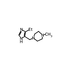 CCc1nc[nH]c1CN1CCN(C)CC1